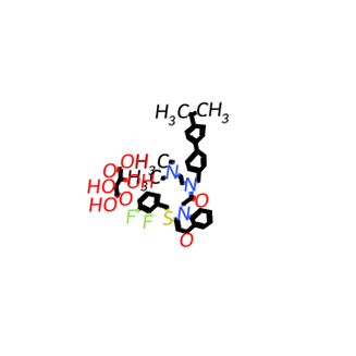 CCN(CC)CCN(Cc1ccc(-c2ccc(C(C)C)cc2)cc1)C(=O)Cn1c(SCc2cccc(F)c2F)cc(=O)c2ccccc21.O=C(O)C(O)C(O)C(=O)O